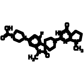 CN1CCCc2c1nc(N1CCC3(CC1)C(=O)N(C)c1cc(N4CCN(C(=O)O)CC4)cc(F)c13)[nH]c2=O